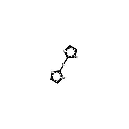 c1c[nH][c]([Ru][c]2ncc[nH]2)n1